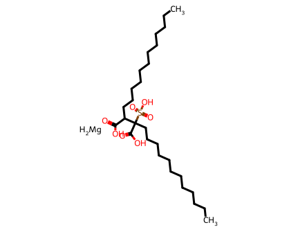 CCCCCCCCCCCCC(C(=O)O)C(CCCCCCCCCCCC)(C(=O)O)S(=O)(=O)O.[MgH2]